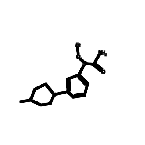 CCON(C(N)=O)c1cccc(N2CCN(C)CC2)c1